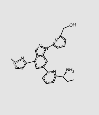 CC[C@H](N)c1cccc(-c2cc(-c3ccn(C)n3)c3cnn(-c4cccc(CO)n4)c3c2)n1